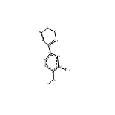 CCc1ccc(C2=CCCC=C2)cc1F